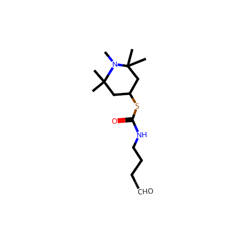 CN1C(C)(C)CC(SC(=O)NCCCC=O)CC1(C)C